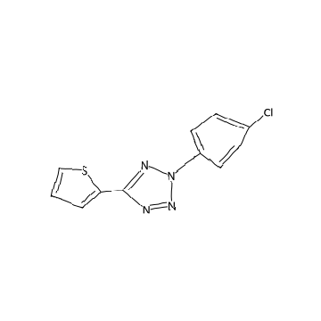 Clc1ccc(-n2nnc(-c3cccs3)n2)cc1